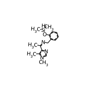 CC(=NCc1ccccc1O[SiH](C)C)c1ncn(C)c1C